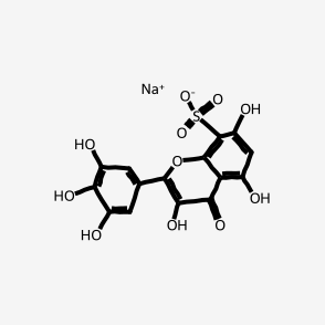 O=c1c(O)c(-c2cc(O)c(O)c(O)c2)oc2c(S(=O)(=O)[O-])c(O)cc(O)c12.[Na+]